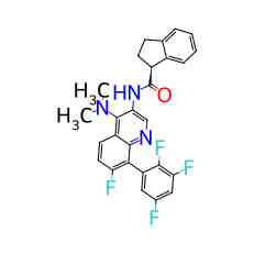 CN(C)c1c(NC(=O)[C@H]2CCc3ccccc32)cnc2c(-c3cc(F)cc(F)c3F)c(F)ccc12